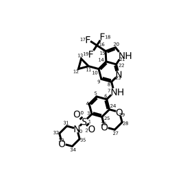 O=S(=O)(c1ccc(Nc2cc(C3CC3)c3c(C(F)(F)F)c[nH]c3n2)c2c1OCCO2)N1CCOCC1